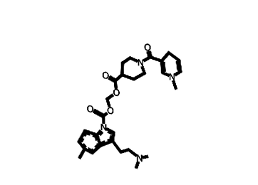 Cc1ccc2c(c1)c(CCN(C)C)cn2C(=O)OCOC(=O)C1CCN(C(=O)C2=CN(C)C=CC2)CC1